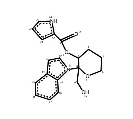 O=C(OC1CCCOC1(CO)n1ccc2ccccc21)c1ccc[nH]1